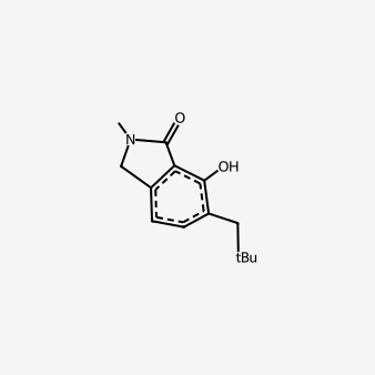 CN1Cc2ccc(CC(C)(C)C)c(O)c2C1=O